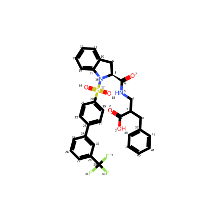 O=C(O)C(CNC(=O)[C@@H]1Cc2ccccc2N1S(=O)(=O)c1ccc(-c2cccc(C(F)(F)F)c2)cc1)Cc1ccccc1